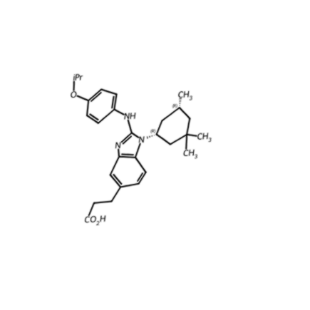 CC(C)Oc1ccc(Nc2nc3cc(CCC(=O)O)ccc3n2[C@@H]2C[C@H](C)CC(C)(C)C2)cc1